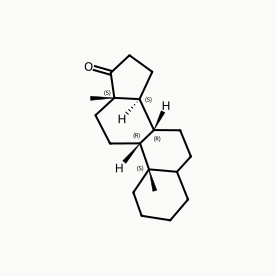 C[C@]12CCCCC1CC[C@@H]1[C@H]2CC[C@]2(C)C(=O)CC[C@@H]12